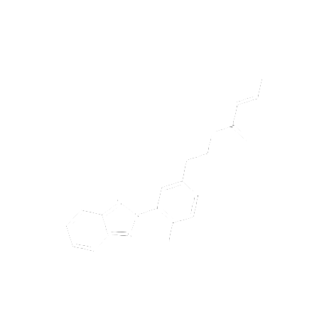 CC=CC(=O)OCCc1ccc(O)c(-n2nc3ccccc3n2)c1